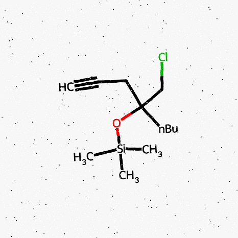 C#CCC(CCl)(CCCC)O[Si](C)(C)C